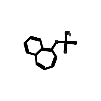 O=S(=O)(OC1=C2C=CC=CC2C=CC=C1)C(F)(F)F